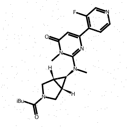 CCC(C)C(=O)N1C[C@@H]2[C@H](C1)[C@H]2N(C)c1nc(-c2ccncc2F)cc(=O)n1C